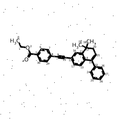 CCOC(=O)c1ccc(C#Cc2ccc3c(c2)C(C)(C)CC=C3c2ccccc2)cc1